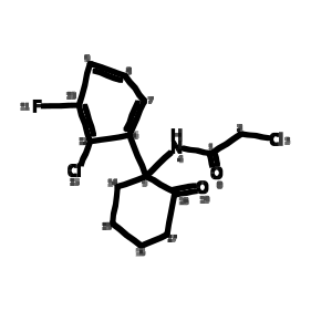 O=C(CCl)NC1(c2cccc(F)c2Cl)CCCCC1=O